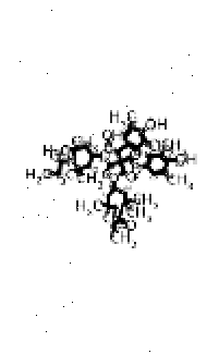 C=CC(=O)N1C(C)(C)CC(OC(=O)C(C(=O)Oc2cc(C)c(O)c(C)c2)(C(=O)OC2CC(C)(C)N(C(=O)C=C)C(C)(C)C2)C(OO)c2cc(C)c(O)c(C)c2)CC1(C)C